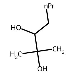 [CH2]CCCC(O)C(C)(C)O